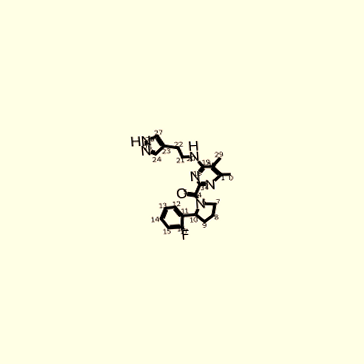 Cc1nc(C(=O)N2CCCC2c2ccccc2F)nc(NCCc2cn[nH]c2)c1C